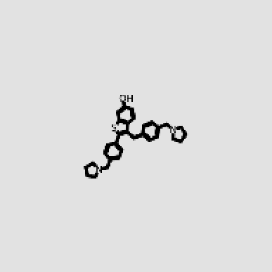 Oc1ccc2c(Cc3ccc(CN4CCCC4)cc3)c(-c3ccc(CN4CCCC4)cc3)sc2c1